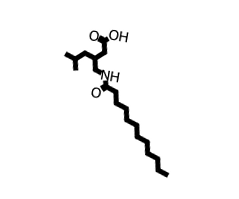 CCCCCCCCCCCC(=O)NCC(CC(=O)O)CC(C)C